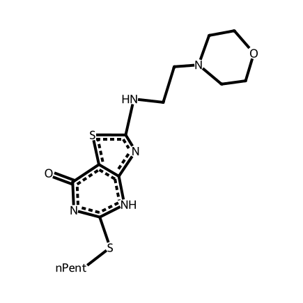 CCCCCSc1nc(=O)c2sc(NCCN3CCOCC3)nc2[nH]1